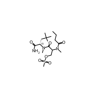 CCCC(=O)N(C)C(COS(C)(=O)=O)C(=O)N(C)[C@@H](CC(C)(C)C)C(N)=O